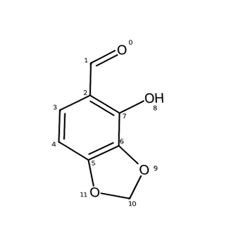 O=Cc1ccc2c(c1O)OCO2